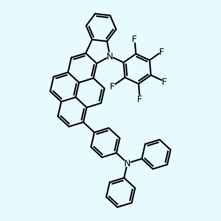 Fc1c(F)c(F)c(-n2c3ccccc3c3cc4ccc5ccc(-c6ccc(N(c7ccccc7)c7ccccc7)cc6)c6ccc(c4c56)c32)c(F)c1F